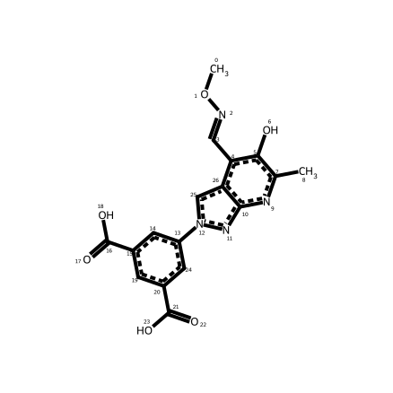 CON=Cc1c(O)c(C)nc2nn(-c3cc(C(=O)O)cc(C(=O)O)c3)cc12